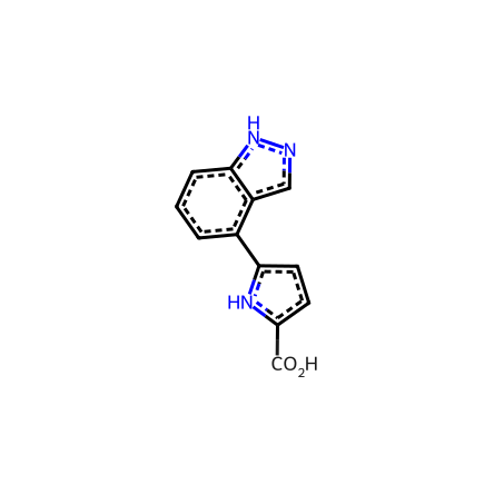 O=C(O)c1ccc(-c2cccc3[nH]ncc23)[nH]1